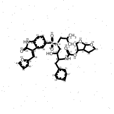 CC(C)CN(CC(O)C(Cc1ccccc1)NC(=O)OC1COC2OCCC12)S(=O)(=O)c1ccc2c(c1)C(=Cc1ccco1)C(=O)N2